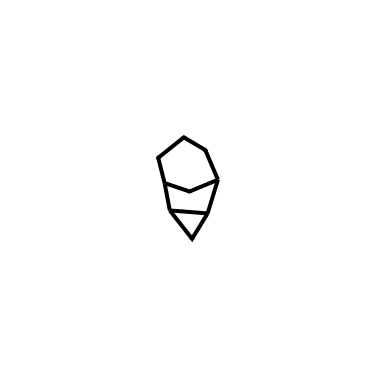 C1CC2CC(C1)C1CC21